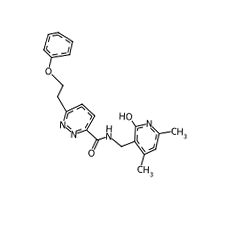 Cc1cc(C)c(CNC(=O)c2ccc(CCOc3ccccc3)nn2)c(O)n1